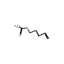 C=CCCCOC(=O)C(F)(F)F